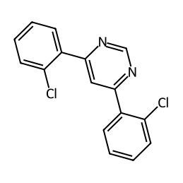 Clc1ccccc1-c1cc(-c2ccccc2Cl)ncn1